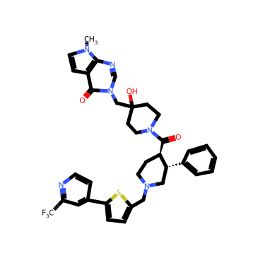 Cn1ccc2c(=O)n(CC3(O)CCN(C(=O)[C@@H]4CCN(Cc5ccc(-c6ccnc(C(F)(F)F)c6)s5)C[C@H]4c4ccccc4)CC3)cnc21